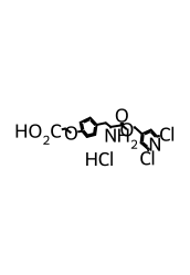 Cl.N[C@@H](Cc1ccc(OCC(=O)O)cc1)C(=O)OCc1cc(Cl)nc(Cl)c1